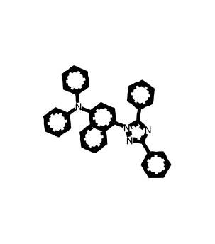 c1ccc(-c2nc(-c3ccccc3)n(-c3ccc(N(c4ccccc4)c4ccccc4)c4ccccc34)n2)cc1